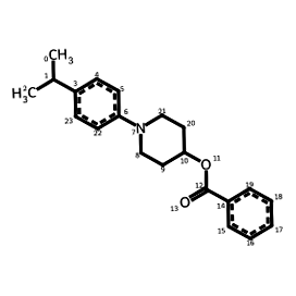 CC(C)c1ccc(N2CCC(OC(=O)c3ccccc3)CC2)cc1